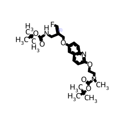 CN(CCOc1ccc2cc(OC/C(=C/F)CNC(=O)OC(C)(C)C)ccc2n1)C(=O)OC(C)(C)C